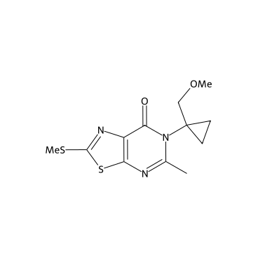 COCC1(n2c(C)nc3sc(SC)nc3c2=O)CC1